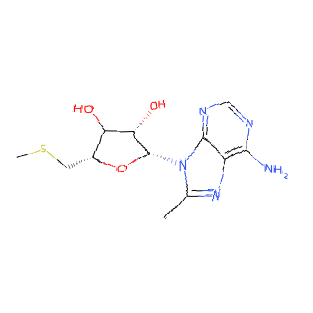 CSC[C@H]1O[C@@H](n2c(C)nc3c(N)ncnc32)[C@@H](O)C1O